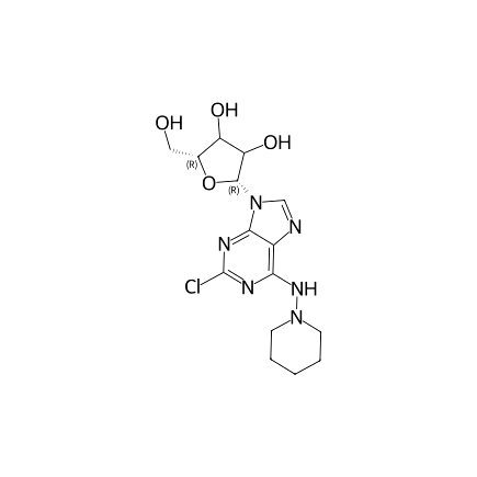 OC[C@H]1O[C@@H](n2cnc3c(NN4CCCCC4)nc(Cl)nc32)C(O)C1O